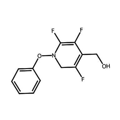 OCC1=C(F)CN(Oc2ccccc2)C(F)=C1F